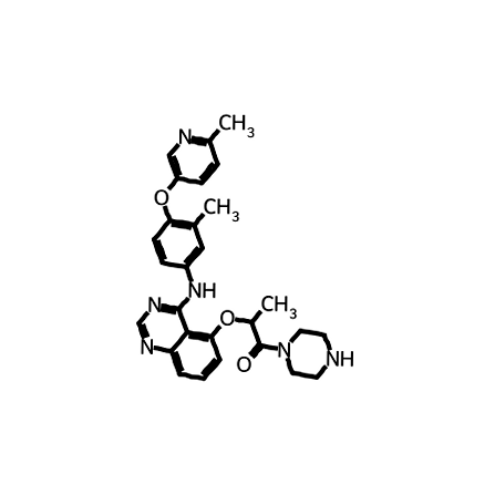 Cc1ccc(Oc2ccc(Nc3ncnc4cccc(OC(C)C(=O)N5CCNCC5)c34)cc2C)cn1